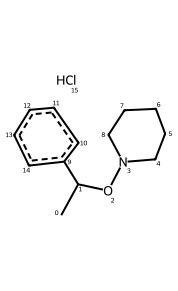 CC(ON1CCCCC1)c1ccccc1.Cl